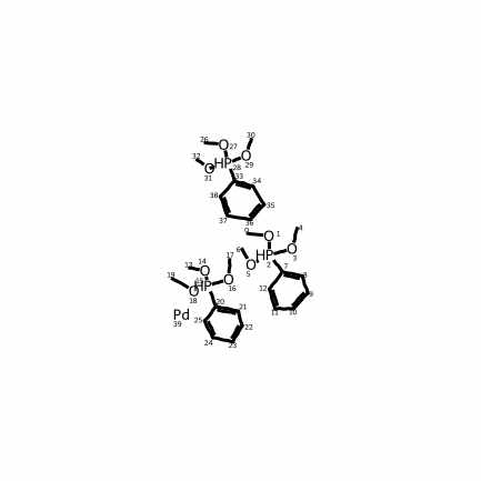 CO[PH](OC)(OC)c1ccccc1.CO[PH](OC)(OC)c1ccccc1.CO[PH](OC)(OC)c1ccccc1.[Pd]